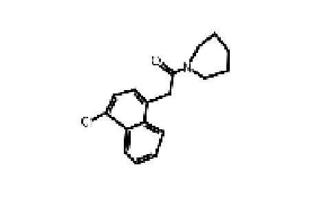 O=C(Cc1ccc(Cl)c2ccccc12)N1CCCCC1